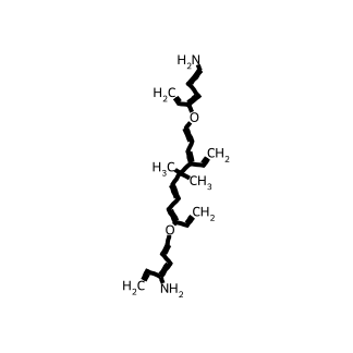 C=C/C(N)=C\C=C\O/C(C=C)=C/C=C/C(C)(C)/C(C=C)=C/C=C/O/C(C=C)=C/C=C/N